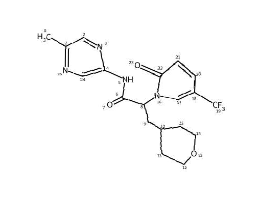 Cc1cnc(NC(=O)C(CC2CCOCC2)n2cc(C(F)(F)F)ccc2=O)cn1